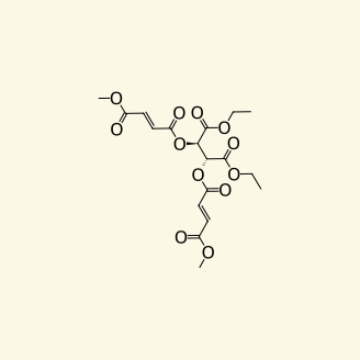 CCOC(=O)[C@H](OC(=O)/C=C/C(=O)OC)[C@@H](OC(=O)/C=C/C(=O)OC)C(=O)OCC